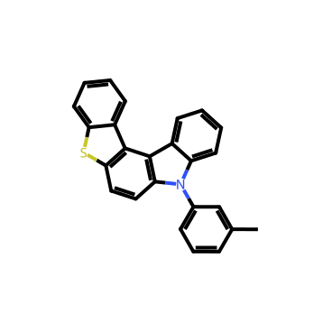 Cc1cccc(-n2c3ccccc3c3c4c(ccc32)sc2ccccc24)c1